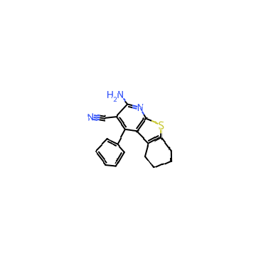 N#Cc1c(N)nc2sc3c(c2c1-c1ccccc1)CCCC3